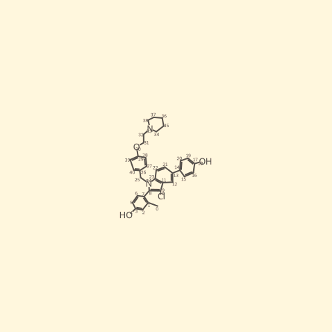 Cc1cc(O)ccc1-c1c(Cl)c2cc(-c3ccc(O)cc3)ccc2n1Cc1ccc(OCCN2CCCCC2)cc1